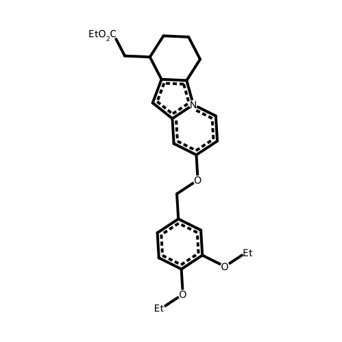 CCOC(=O)CC1CCCc2c1cc1cc(OCc3ccc(OCC)c(OCC)c3)ccn21